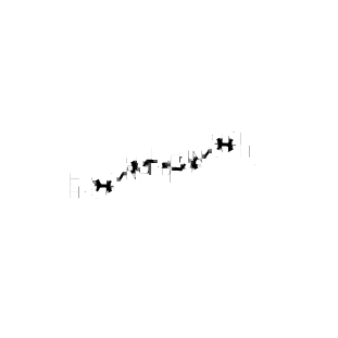 C=C(C)C(=O)OCCNC(=O)OCC(F)(F)BOC(F)(F)COC(=O)NCCOC(=O)C(=C)C